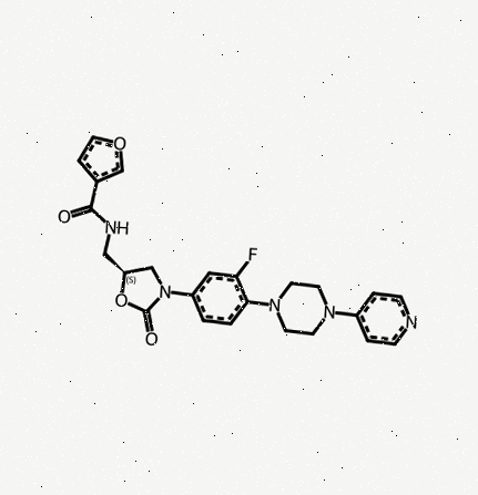 O=C(NC[C@H]1CN(c2ccc(N3CCN(c4ccncc4)CC3)c(F)c2)C(=O)O1)c1ccoc1